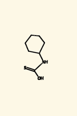 OC(=S)NC1CCCCC1